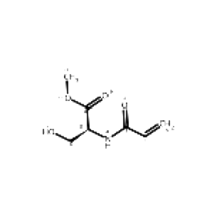 C=CC(=O)N[C@@H](CO)C(=O)OC